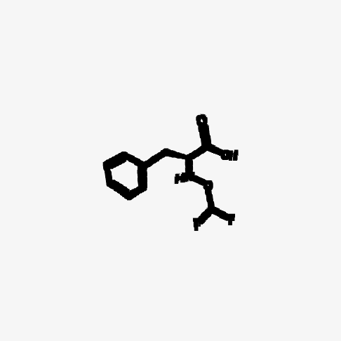 O=C(O)[C@H](Cc1ccccc1)NOC(F)F